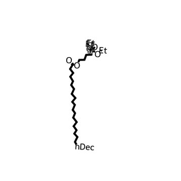 CCCCCCCCCCCCCCCCCCCCCCCCCCCCCC(=O)OCCCC[Si](OCC)(OCC)OCC